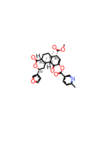 COC(=O)[C@@H]1C=C(OC(=O)c2ccc(C)nc2)C(=O)[C@H]2[C@@]1(C)CC[C@H]1C(=O)O[C@H](c3ccoc3)C[C@]21C